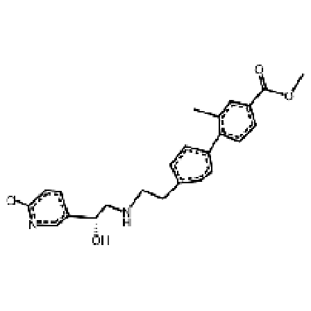 COC(=O)c1ccc(-c2ccc(CCNC[C@H](O)c3ccc(Cl)nc3)cc2)c(C)c1